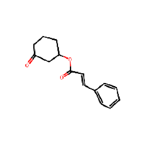 O=C1CCCC(OC(=O)C=Cc2ccccc2)C1